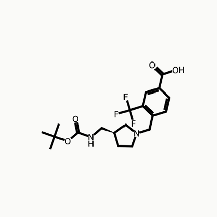 CC(C)(C)OC(=O)NC[C@@H]1CCN(Cc2ccc(C(=O)O)cc2C(F)(F)F)C1